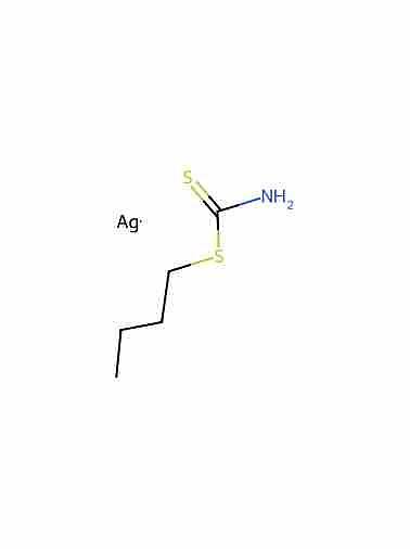 CCCCSC(N)=S.[Ag]